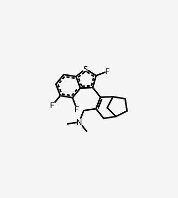 CN(C)CC1=C(c2c(F)sc3ccc(F)c(F)c23)C2CCC(C1)C2